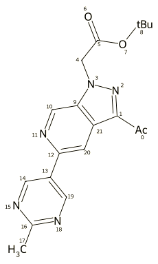 CC(=O)c1nn(CC(=O)OC(C)(C)C)c2cnc(-c3cnc(C)nc3)cc12